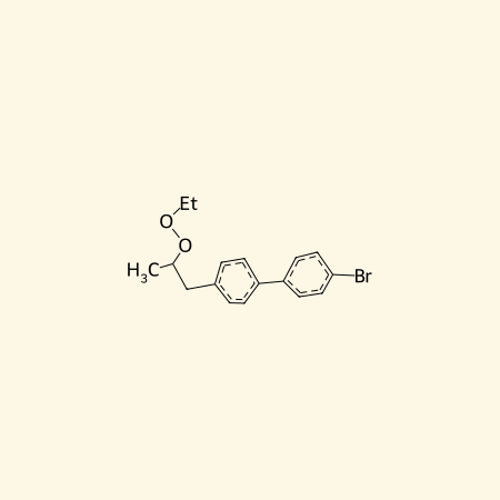 CCOOC(C)Cc1ccc(-c2ccc(Br)cc2)cc1